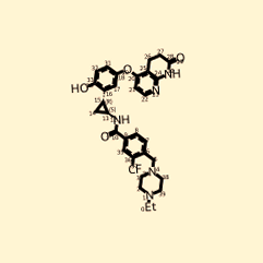 CCN1CCN(Cc2ccc(C(=O)N[C@H]3C[C@@H]3c3cc(Oc4ccnc5c4CCC(=O)N5)ccc3O)cc2C(F)(F)F)CC1